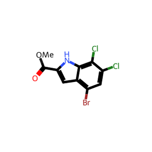 COC(=O)c1cc2c(Br)cc(Cl)c(Cl)c2[nH]1